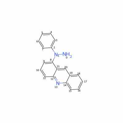 NN(c1ccccc1)c1cccc2nc3ccccc3cc12